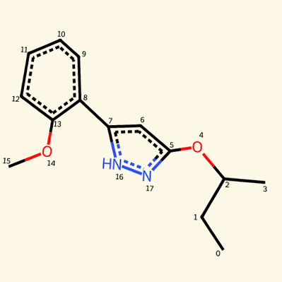 CCC(C)Oc1cc(-c2ccccc2OC)[nH]n1